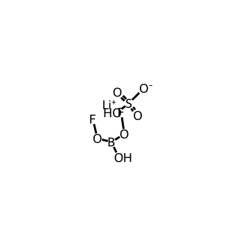 O=S(=O)([O-])O.OB(OF)OF.[Li+]